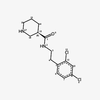 O=C(NCCc1ccc(Cl)cc1Cl)[C@@H]1CCCNC1